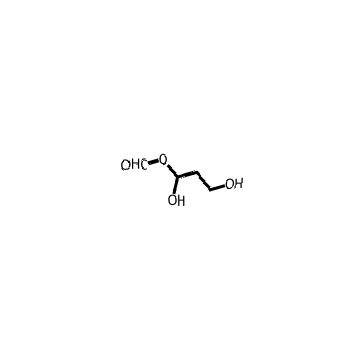 O=COC(O)CCO